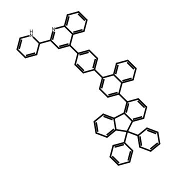 C1=CNC(c2cc(-c3ccc(-c4ccc(-c5cccc6c5-c5ccccc5C6(c5ccccc5)c5ccccc5)c5ccccc45)cc3)c3ccccc3n2)C=C1